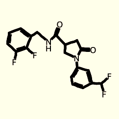 O=C(NCc1cccc(F)c1F)C1CC(=O)N(c2cccc(C(F)F)c2)C1